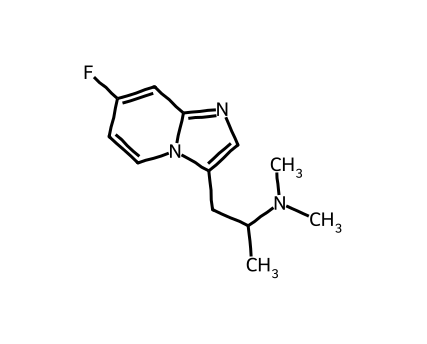 CC(Cc1cnc2cc(F)ccn12)N(C)C